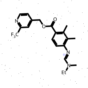 CCN(C)/C=N/c1ccc(C(=O)OCc2ccnc(C(F)(F)F)c2)c(C)c1C